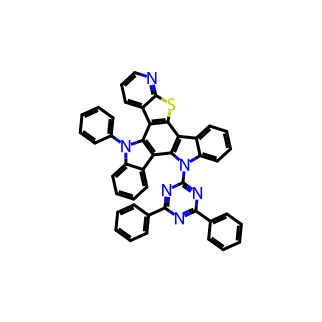 c1ccc(-c2nc(-c3ccccc3)nc(-n3c4ccccc4c4c5sc6ncccc6c5c5c(c6ccccc6n5-c5ccccc5)c43)n2)cc1